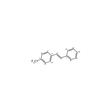 FC(F)(F)c1ccc(/C=C/c2cc[c]cc2)cc1